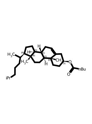 CCCCC(=O)O[C@H]1CC[C@@]2(C)C(=CC[C@H]3[C@@H]4CC[C@H](C(C)CCCC(C)C)[C@@]4(C)CC[C@@H]32)C1